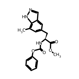 COC(=O)[C@H](Cc1cc(C)c2[nH]ncc2c1)NC(=O)Oc1ccccc1